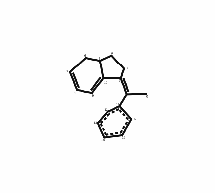 CC(=C1CCC2CC=CC=C12)c1ccccc1